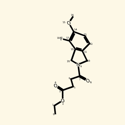 CCOC(=O)CCC(=O)N1Cc2c[c]c(OC)c(F)c2C1